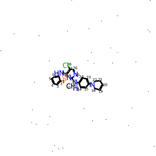 CPc1ccccc1Nc1nc(Nc2ccc(N3CC=CCC3)cc2)ncc1Cl